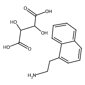 NCCc1cccc2ccccc12.O=C(O)C(O)C(O)C(=O)O